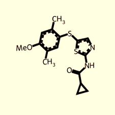 COc1cc(C)c(Sc2cnc(NC(=O)C3CC3)s2)cc1C